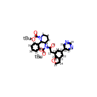 CC(C)(C)OC(=O)N1CCCC(N(C(=O)Cc2cc(-c3cncnc3)cc3ccoc23)C(=O)OC(C)(C)C)C1c1ccccc1